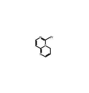 CC(C)C1=NC=CC2=NC=CCN21